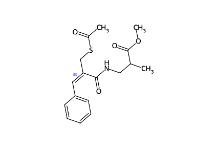 COC(=O)C(C)CNC(=O)/C(=C\c1ccccc1)CSC(C)=O